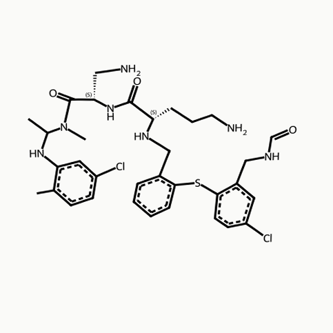 Cc1ccc(Cl)cc1NC(C)N(C)C(=O)[C@H](CN)NC(=O)[C@H](CCCN)NCc1ccccc1Sc1ccc(Cl)cc1CNC=O